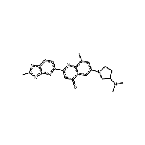 Cc1nc2ccc(-c3cc(=O)n4cc(N5CCC(N(C)C)C5)cc(C)c4n3)nn2n1